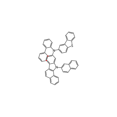 c1ccc(-c2ccccc2N(c2ccc3sc4ccccc4c3c2)c2ccc3c4ccc5ccccc5c4n(-c4ccc5ccccc5c4)c3c2)cc1